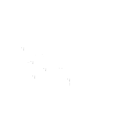 CCCCNC(=O)c1cccc2[nH]c(NC(=O)c3cc4ccccc4cn3)nc12